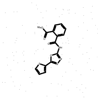 COC(=O)c1ccccc1C(=O)Nc1nnc(-c2cccs2)o1